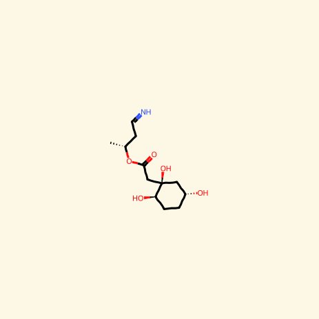 C[C@H](CC=N)OC(=O)C[C@]1(O)C[C@H](O)CC[C@H]1O